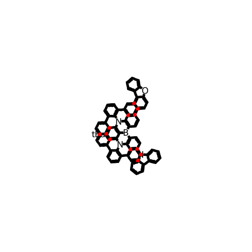 CC(C)(C)c1cc2c3c(c1)N(c1c(-c4ccccc4)cccc1-c1ccccc1)c1cc(-n4c5ccccc5c5ccccc54)ccc1B3c1ccc(-c3ccc4oc5ccccc5c4c3)cc1N2c1c(-c2ccccc2)cccc1-c1ccccc1